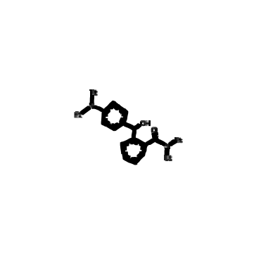 CCN(CC)C(=O)c1ccccc1C(O)c1ccc(N(CC)CC)cc1